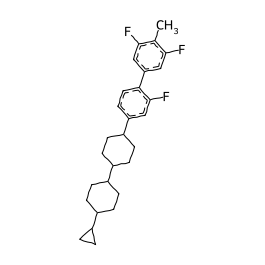 Cc1c(F)cc(-c2ccc(C3CCC(C4CCC(C5CC5)CC4)CC3)cc2F)cc1F